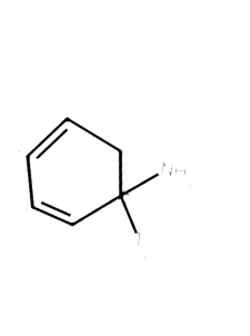 NC1(I)C=CC=CC1